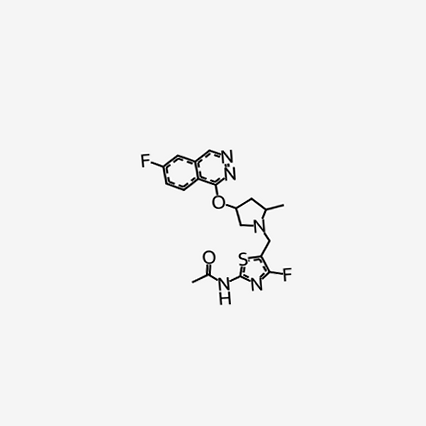 CC(=O)Nc1nc(F)c(CN2CC(Oc3nncc4cc(F)ccc34)CC2C)s1